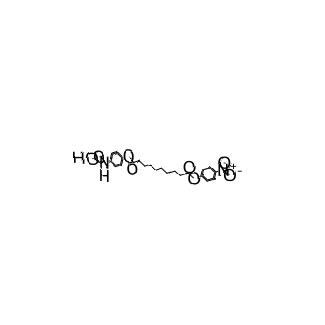 O=C(CCCCCCCCC(=O)Oc1ccc([N+](=O)[O-])cc1)Oc1ccc(NOO)cc1